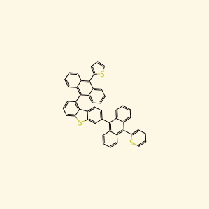 C1=CSC(c2c3ccccc3c(-c3ccc4c(c3)sc3cccc(-c5c6ccccc6c(-c6cccs6)c6ccccc56)c34)c3ccccc23)=CC1